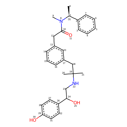 C[C@@H](c1ccccc1)N(C)C(=O)Cc1cccc(CC(C)(C)NCC(O)c2ccc(O)cc2)c1